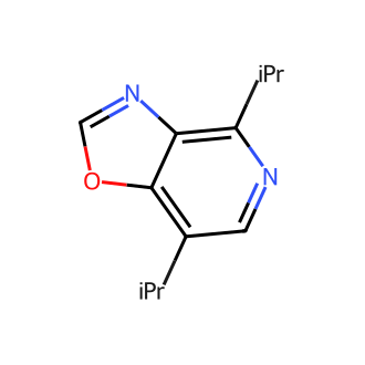 CC(C)c1ncc(C(C)C)c2ocnc12